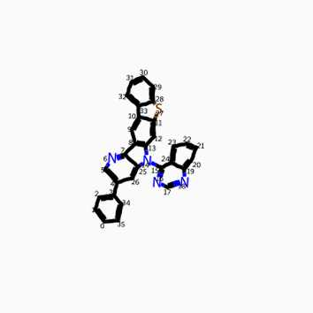 c1ccc(-c2cnc3c4cc5c(cc4n(-c4ncnc6ccccc46)c3c2)sc2ccccc25)cc1